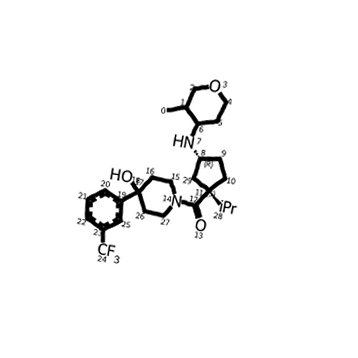 CC1COCCC1N[C@@H]1CC[C@@](C(=O)N2CCC(O)(c3cccc(C(F)(F)F)c3)CC2)(C(C)C)C1